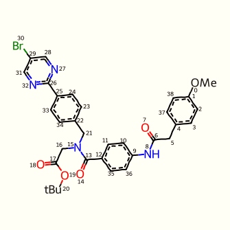 COc1ccc(CC(=O)Nc2ccc(C(=O)N(CC(=O)OC(C)(C)C)Cc3ccc(-c4ncc(Br)cn4)cc3)cc2)cc1